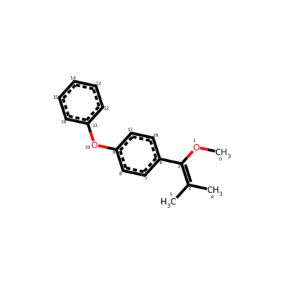 COC(=C(C)C)c1ccc(Oc2ccccc2)cc1